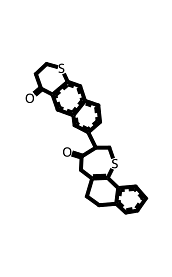 O=C1CCSc2cc3ccc(C4CSC5=C(CCc6ccccc65)CC4=O)cc3cc21